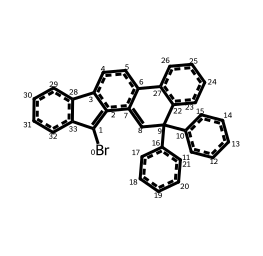 BrC1=c2c(ccc3c2=CC(c2ccccc2)(c2ccccc2)c2ccccc2-3)-c2ccccc21